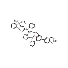 CC1(C)c2ccccc2-c2ccc(-n3c4c(c5ccccc53)C3C=CC=CC3N(c3ccccc3-c3cccc(-c5ccc6c(c5)C=CNC6)c3)c3ccccc3-4)cc21